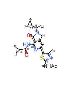 CC(=O)Nc1nc(C)c(-c2cc3c(c(NC(=O)C4CC4)n2)C(=O)N(C(C)C2CC2)C3)s1